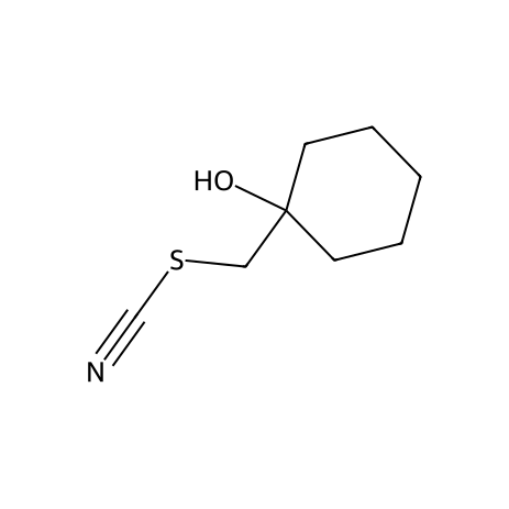 N#CSCC1(O)CCCCC1